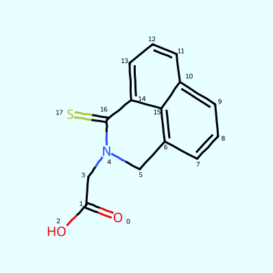 O=C(O)CN1Cc2cccc3cccc(c23)C1=S